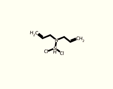 C=CCN(CC=C)[SiH](Cl)Cl